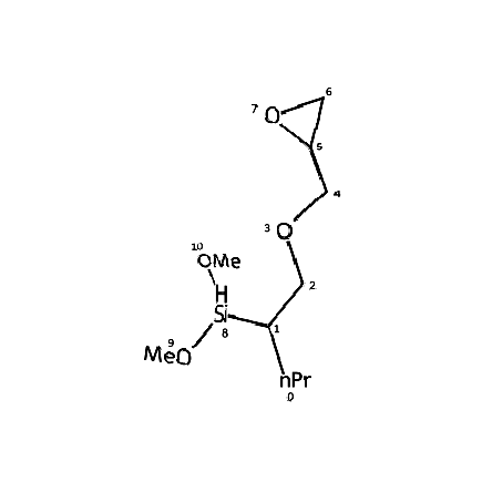 CCCC(COCC1CO1)[SiH](OC)OC